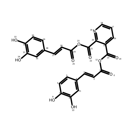 O=C(C=Cc1ccc(O)c(O)c1)OC(=O)c1cccnc1C(=O)OC(=O)C=Cc1ccc(O)c(O)c1